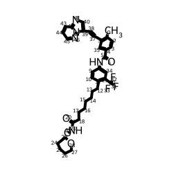 Cc1ccc(C(=O)Nc2ccc(CCCCCCCC(=O)NOC3CCCCO3)c(C(F)(F)F)c2)cc1C#Cc1cnc2cccnn12